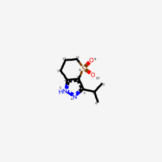 CC(C)c1n[nH]c2c1S(=O)(=O)CCC2